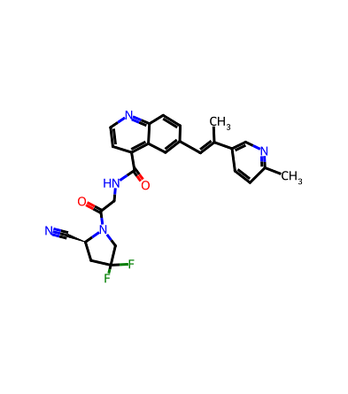 C/C(=C\c1ccc2nccc(C(=O)NCC(=O)N3CC(F)(F)C[C@H]3C#N)c2c1)c1ccc(C)nc1